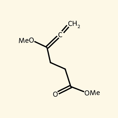 C=C=C(CCC(=O)OC)OC